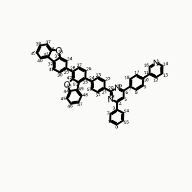 c1ccc(-c2cc(-c3ccc(-c4cccnc4)cc3)nc(-c3ccc(-c4ccc(-c5ccc6c(c5)oc5ccccc56)c5oc6ccccc6c45)cc3)n2)cc1